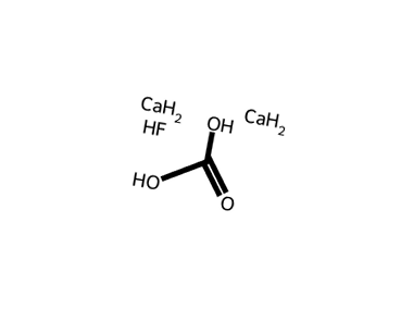 F.O=C(O)O.[CaH2].[CaH2]